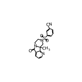 CC12CN(S(=O)(=O)c3cccc(C#N)c3)CCN1C(=O)c1cccnc12